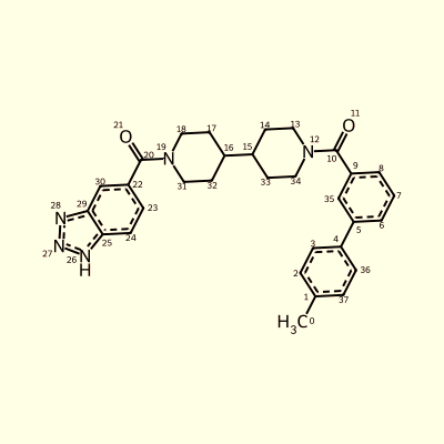 Cc1ccc(-c2cccc(C(=O)N3CCC(C4CCN(C(=O)c5ccc6[nH]nnc6c5)CC4)CC3)c2)cc1